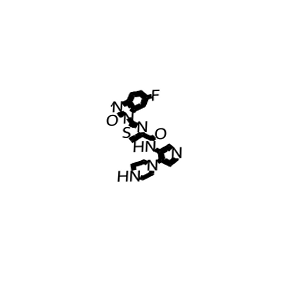 Cn1c(=O)n(-c2nc(C(=O)Nc3cnccc3N3CCNCC3)cs2)c2cc(F)ccc21